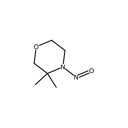 CC1(C)COCCN1N=O